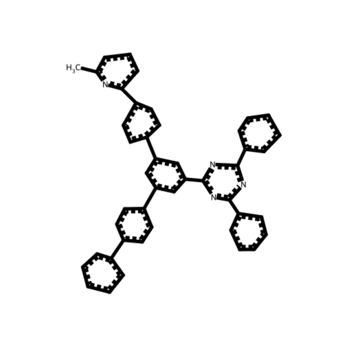 Cc1cccc(-c2ccc(-c3cc(-c4ccc(-c5ccccc5)cc4)cc(-c4nc(-c5ccccc5)nc(-c5ccccc5)n4)c3)cc2)n1